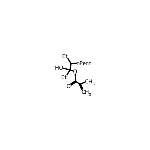 C=C(C)C(=O)OC(O)(CC)C(CC)CCCCC